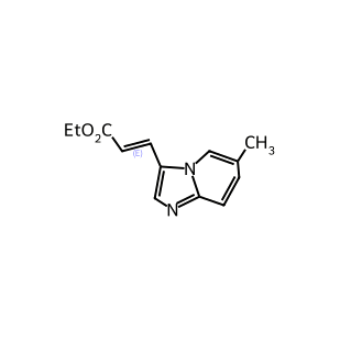 CCOC(=O)/C=C/c1cnc2ccc(C)cn12